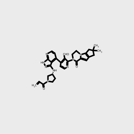 C=CC(=O)N1CC[C@@H](Nc2n[nH]c3nccc(-c4ccnc(N5CCn6c(cc7c6CC(C)(C)C7)C5=O)c4C=O)c23)C1